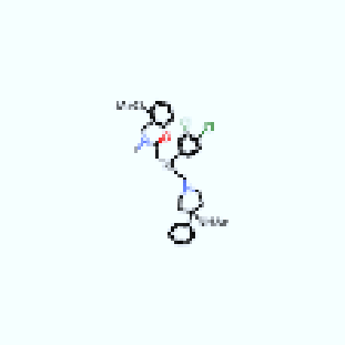 COc1ccccc1CN(C)C(=O)C[C@@H](CCN1CCC(NC(C)=O)(c2ccccc2)CC1)c1ccc(Cl)c(Cl)c1